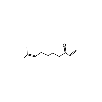 [CH]=CC(=O)CCCCC=C(C)C